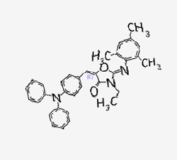 CCN1C(=O)/C(=C\c2ccc(N(c3ccccc3)c3ccccc3)cc2)OC1=Nc1c(C)cc(C)cc1C